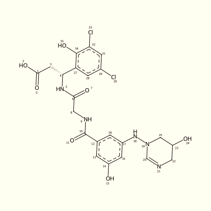 O=C(O)C[C@@H](NC(=O)CNC(=O)c1cc(O)cc(NN2C=NCC(O)C2)c1)c1cc(Cl)cc(Cl)c1O